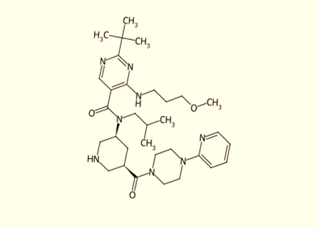 COCCCNc1nc(C(C)(C)C)ncc1C(=O)N(CC(C)C)[C@@H]1CNC[C@H](C(=O)N2CCN(c3ccccn3)CC2)C1